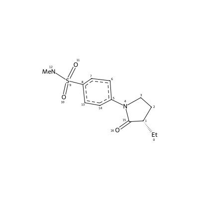 CC[C@H]1CCN(c2ccc(S(=O)(=O)NC)cc2)C1=O